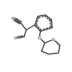 N#CC(C=O)c1ccccc1OC1CCCCO1